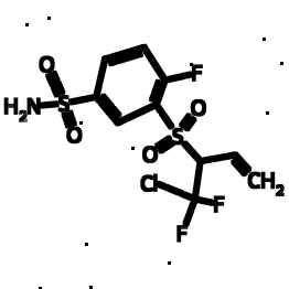 C=CC(C(F)(F)Cl)S(=O)(=O)c1cc(S(N)(=O)=O)ccc1F